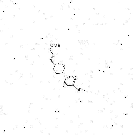 CCCc1ccc([C@H]2CC[C@H](C=CCOC)CC2)cc1